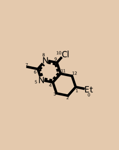 CCC1CCc2nc(C)nc(Cl)c2C1